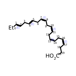 CC/C=C/C/C=C/C/C=C\C/C=C\C/C=C\C/C=C\CCC(=O)O